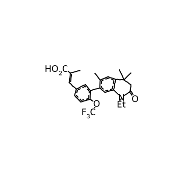 CCN1C(=O)CC(C)(C)c2cc(C)c(-c3cc(C=C(C)C(=O)O)ccc3OC(F)(F)F)cc21